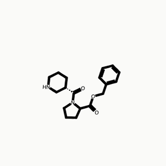 O=C(OCc1ccccc1)C1CCCN1C(=O)[C@H]1CCCNC1